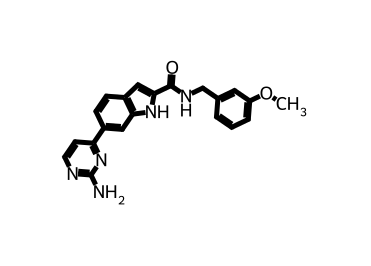 COc1cccc(CNC(=O)c2cc3ccc(-c4ccnc(N)n4)cc3[nH]2)c1